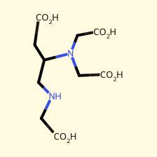 O=C(O)CNCC(CC(=O)O)N(CC(=O)O)CC(=O)O